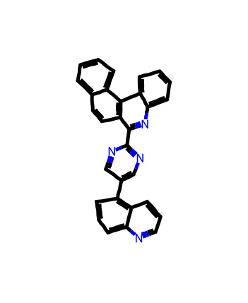 c1ccc2c(c1)ccc1c(-c3ncc(-c4cccc5ncccc45)cn3)nc3ccccc3c12